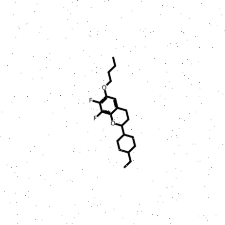 CCCCOc1cc2c(c(F)c1F)OC(C1CCC(CC)CC1)CC2